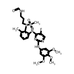 COc1cc(Nc2ncc(F)c(Nc3cccc(C)c3N(CCCNC=O)S(C)(=O)=O)n2)cc(OC)c1OC